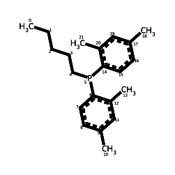 CCCCCP(c1ccc(C)cc1C)c1ccc(C)cc1C